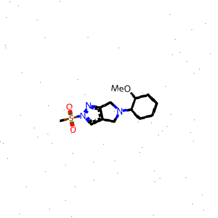 COC1CCCCC1N1Cc2cn(S(C)(=O)=O)nc2C1